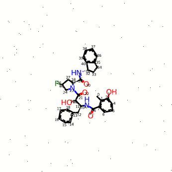 Cc1c(O)cccc1C(=O)N[C@@H](Cc1ccccc1)[C@H](O)C(=O)N1C[C@@H](F)C[C@H]1C(=O)N[C@H]1CCc2ccccc21